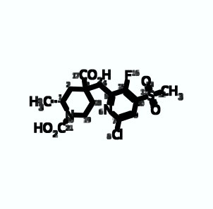 C[C@@H]1CC(Cc2nc(Cl)cc(S(C)(=O)=O)c2F)(C(=O)O)CCN1C(=O)O